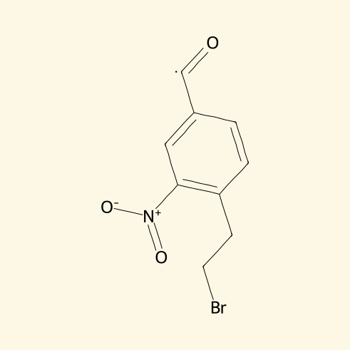 O=[C]c1ccc(CCBr)c([N+](=O)[O-])c1